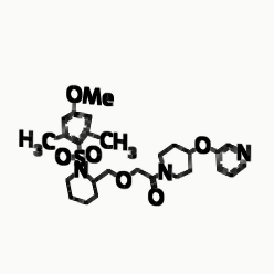 COc1cc(C)c(S(=O)(=O)N2CCCCC2COCC(=O)N2CCC(Oc3cccnc3)CC2)c(C)c1